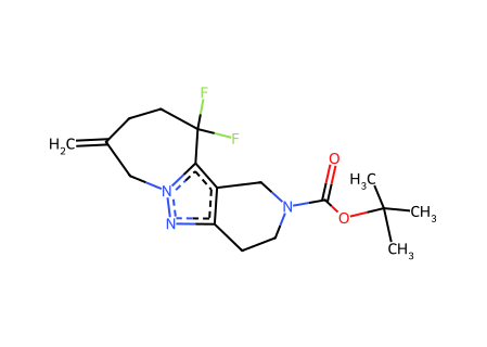 C=C1CCC(F)(F)c2c3c(nn2C1)CCN(C(=O)OC(C)(C)C)C3